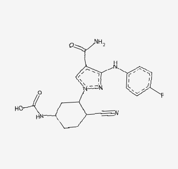 N#CC1CCC(NC(=O)O)CC1n1cc(C(N)=O)c(Nc2ccc(F)cc2)n1